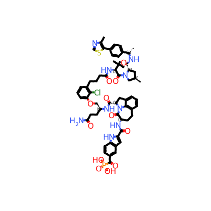 Cc1ncsc1-c1ccc([C@H](C)NC(=O)[C@@H]2C[C@@H](C)CN2C(=O)[C@@H](NC(=O)CCCc2cccc(OC[C@H](CCC(N)=O)NC(=O)[C@@H]3Cc4cccc5c4N3C(=O)[C@@H](NC(=O)c3cc4cc(C(=O)P(=O)(O)O)ccc4[nH]3)CC5)c2Cl)C(C)(C)C)cc1